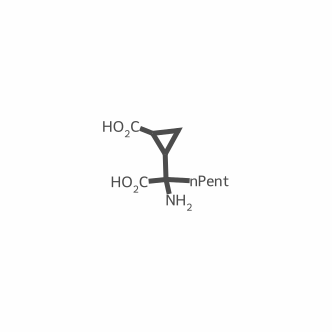 CCCCCC(N)(C(=O)O)C1CC1C(=O)O